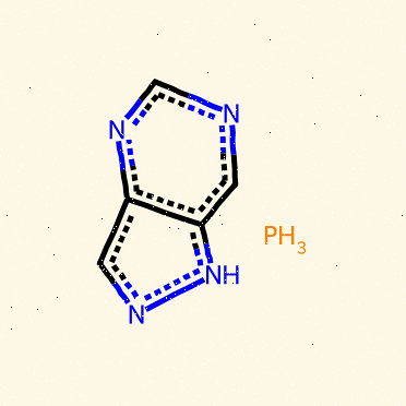 P.c1ncc2[nH]ncc2n1